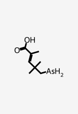 C/C(=C\C(C)(C)C[AsH2])C(=O)O